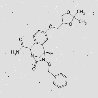 CC1(C)OCC(COc2ccc3c(c2)[C@H]2CN(C(=O)N2OCc2ccccc2)C3C(N)=O)O1